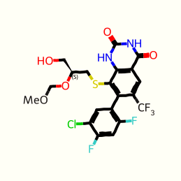 COCO[C@@H](CO)CSc1c(-c2cc(Cl)c(F)cc2F)c(C(F)(F)F)cc2c(=O)[nH]c(=O)[nH]c12